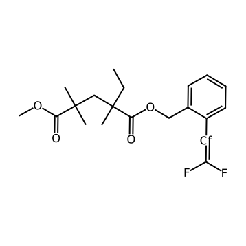 CCC(C)(CC(C)(C)C(=O)OC)C(=O)OCc1cccc[c]1[Cf]=[C](F)F